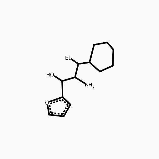 CCC(C1CCCCC1)C(N)C(O)c1ccco1